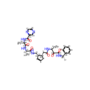 CCCC(NC(=O)C[C@H]1CC=C[C@H]1CNC(=O)[C@@H](NC(=O)[C@H](NC(=O)c1cnccn1)C(C)C)C(C)C)C(=O)C(=O)N[C@@H](C)c1ccccc1